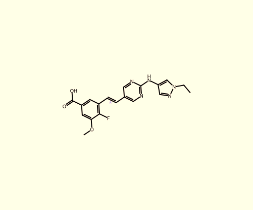 CCn1cc(Nc2ncc(/C=C/c3cc(C(=O)O)cc(OC)c3F)cn2)cn1